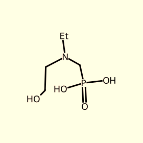 CCN(CCO)CP(=O)(O)O